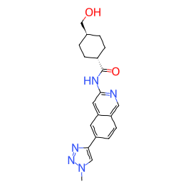 Cn1cc(-c2ccc3cnc(NC(=O)[C@H]4CC[C@H](CO)CC4)cc3c2)nn1